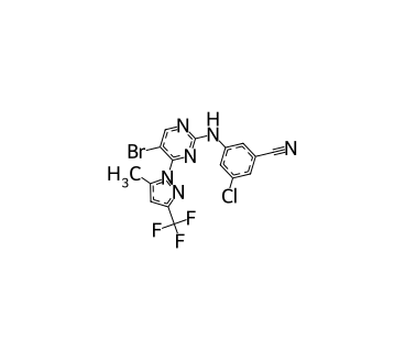 Cc1cc(C(F)(F)F)nn1-c1nc(Nc2cc(Cl)cc(C#N)c2)ncc1Br